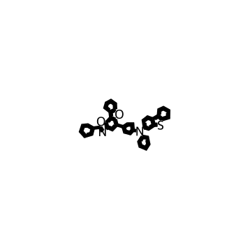 c1ccc(-c2nc3cc(-c4ccc(N(c5ccccc5)c5ccc6c(c5)sc5ccccc56)cc4)c4oc5ccccc5c4c3o2)cc1